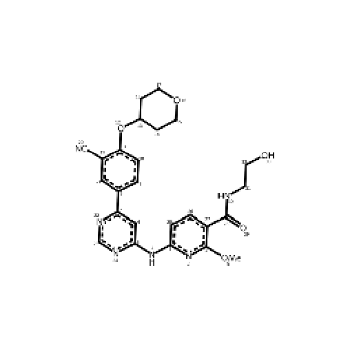 COc1nc(Nc2cc(-c3ccc(OC4CCOCC4)c(C#N)c3)ncn2)ccc1C(=O)NCCO